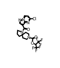 O=C(OC(C(F)(F)F)C(F)(F)F)N1CCC2(CCCN2C(=O)c2cnn3ccc(Cl)nc23)CC1